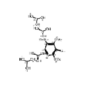 OB(O)O.OB(O)O.OB(O)O.OB(O)O.[Li][c]1c(OC)ncc(OC)c1OC